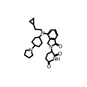 O=C1CCC(N2Cc3c(cccc3N(CCC3CC3)C3CCC(N4CCCC4)CC3)C2=O)C(=O)N1